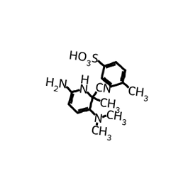 CN(C)C1=CC=C(N)NC1(C)C#N.Cc1ccc(S(=O)(=O)O)cc1